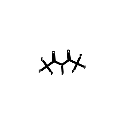 O=C(N(F)C(=O)C(F)(F)F)C(F)(F)F